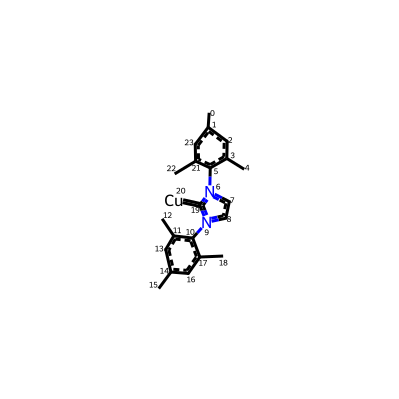 Cc1cc(C)c(-n2ccn(-c3c(C)cc(C)cc3C)[c]2=[Cu])c(C)c1